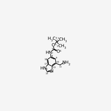 CC(C)(C)OC(=O)Nc1cc(CN)c2nc[nH]c2c1